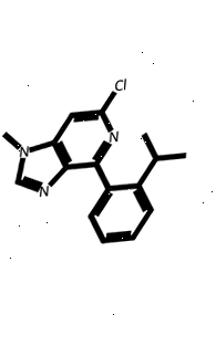 CC(C)c1ccccc1-c1nc(Cl)cc2c1ncn2C